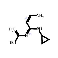 C=C(/N=C(BC1CC1)\C=C/N)C(C)(C)C